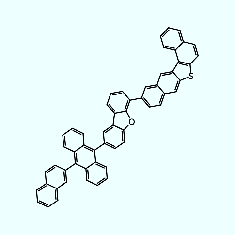 c1ccc2cc(-c3c4ccccc4c(-c4ccc5oc6c(-c7ccc8cc9sc%10ccc%11ccccc%11c%10c9cc8c7)cccc6c5c4)c4ccccc34)ccc2c1